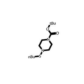 CCCCSN1CCN(C(=O)OC(C)(C)C)CC1